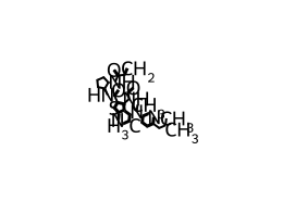 C=CC(=O)NC1CCCC1NC(=O)c1sc2nccc(N(C)c3cnc(CC(C)C)cc3C)c2c1NC=O